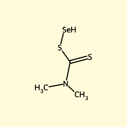 CN(C)C(=S)S[SeH]